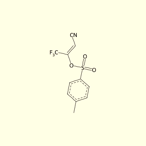 Cc1ccc(S(=O)(=O)OC(=CC#N)C(F)(F)F)cc1